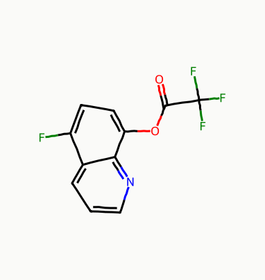 O=C(Oc1ccc(F)c2cccnc12)C(F)(F)F